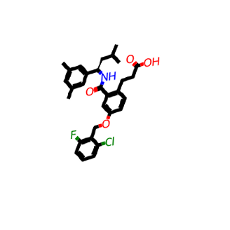 Cc1cc(C)cc([C@@H](CC(C)C)NC(=O)c2cc(OCc3c(F)cccc3Cl)ccc2CCC(=O)O)c1